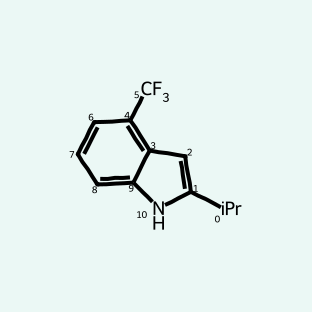 CC(C)c1cc2c(C(F)(F)F)cccc2[nH]1